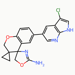 NC1=NC2(CO1)c1cc(-c3cnc4[nH]cc(Cl)c4c3)ccc1OCC21CC1